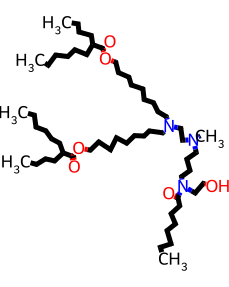 CCCCCCCC(=O)N(CCO)CCCCN(C)CCN(CCCCCCCCCOC(=O)C(CCCC)CCCCCC)CCCCCCCCCOC(=O)C(CCCC)CCCCCC